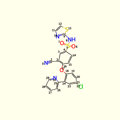 N#Cc1cc(S(=O)(=O)Nc2nccs2)ccc1Oc1ccc(Cl)cc1-c1ccccn1